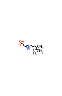 CC(C)C(C)CCCn1cc(CCC(=O)O)nn1